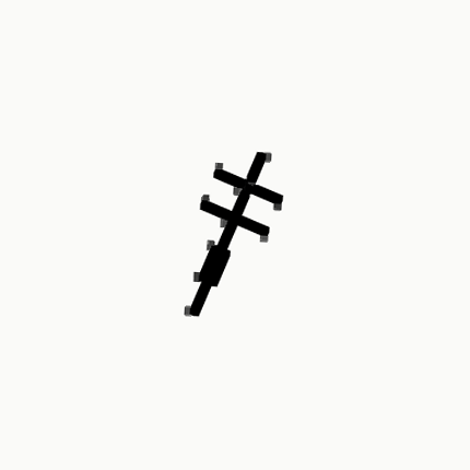 CC#CC(C)(C)[Si](C)(C)C